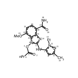 CCCC(=O)On1c(Nc2cc(C)nn2CC)nc2c(C(N)=O)ccc(OC)c21